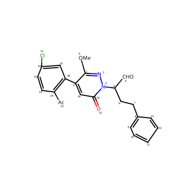 COc1nn(C(C=O)CCc2ccccc2)c(=O)cc1-c1cc(Cl)ccc1C(C)=O